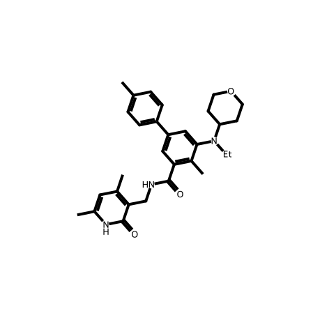 CCN(c1cc(-c2ccc(C)cc2)cc(C(=O)NCc2c(C)cc(C)[nH]c2=O)c1C)C1CCOCC1